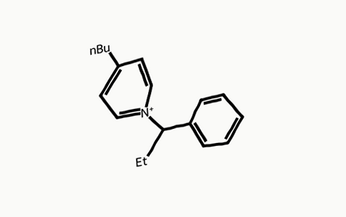 CCCCc1cc[n+](C(CC)c2ccccc2)cc1